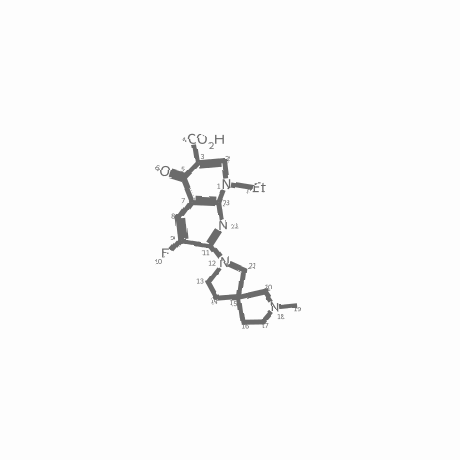 CCn1cc(C(=O)O)c(=O)c2cc(F)c(N3CCC4(CCN(C)C4)C3)nc21